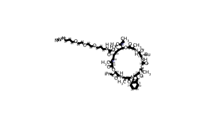 C/C=C(\C)[C@H]1OC(=O)[C@@H](C)NC(=O)[C@H](C(C)CC)NC(=O)CN(C)C(=O)[C@@H](Cc2ccccc2)N(C)C(=O)[C@H](C)NC(=O)[C@@H](CC(C)C)OC(=O)/C(C)=C/C[C@H](OC(=O)NCCCOCCOCCOCCCN=[N+]=[N-])[C@@H]1C